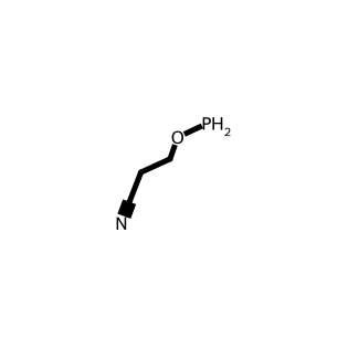 N#CCCOP